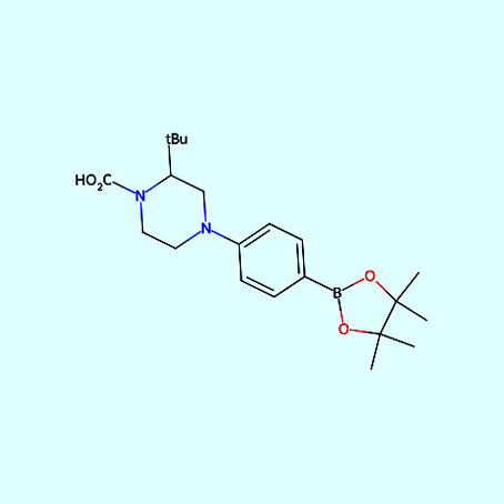 CC(C)(C)C1CN(c2ccc(B3OC(C)(C)C(C)(C)O3)cc2)CCN1C(=O)O